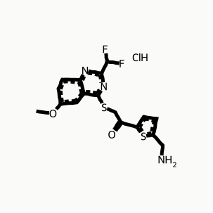 COc1ccc2nc(C(F)F)nc(SCC(=O)c3ccc(CN)s3)c2c1.Cl